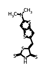 CN(C)c1cc2sc(/C=C3\SC(=S)NC3=S)cc2s1